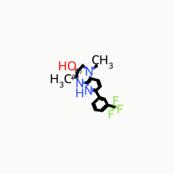 CCN1C[C@@H](O)[C@@H](C)Nc2nc(-c3cccc(C(F)(F)F)c3)ccc21